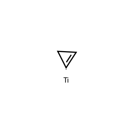 [C]1=CC1.[Ti]